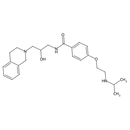 CC(C)NCCOc1ccc(C(=O)NCC(O)CN2CCc3ccccc3C2)cc1